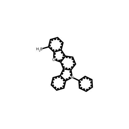 Bc1cccc2c1oc1c2ccc2c1c1ccccc1n2-c1ccccc1